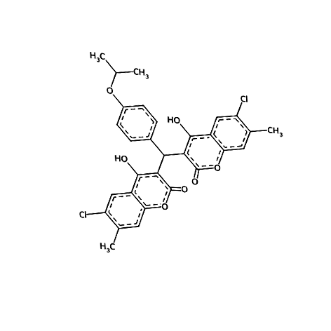 Cc1cc2oc(=O)c(C(c3ccc(OC(C)C)cc3)c3c(O)c4cc(Cl)c(C)cc4oc3=O)c(O)c2cc1Cl